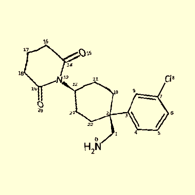 NC[C@]1(c2cccc(Cl)c2)CC[C@H](N2C(=O)CCCC2=O)CC1